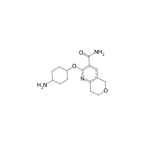 NC(=O)c1cc2c(nc1OC1CCC(N)CC1)CCOC2